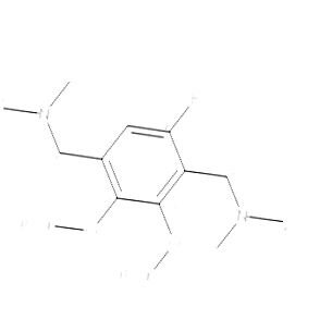 CCCCCCCCOc1c(CN(C)C)cc(CC)c(CN(C)C)c1OCCCCCCCC